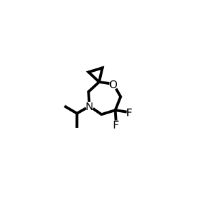 CC(C)N1CC(F)(F)COC2(CC2)C1